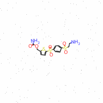 NCCS(=O)(=O)c1ccc(S(=O)(=O)c2ccc(COC(N)=O)s2)cc1